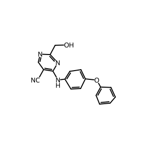 N#Cc1cnc(CO)nc1Nc1ccc(Oc2ccccc2)cc1